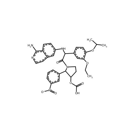 CCOc1cc(C(Nc2ccc3c(N)nccc3c2)C(=O)N2CCC(OC(=O)O)C2c2cccc([N+](=O)[O-])c2)ccc1OC(C)C